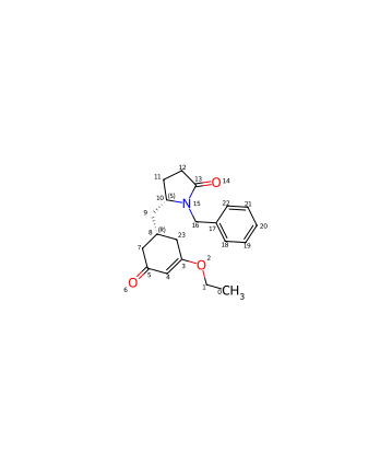 CCOC1=CC(=O)C[C@H](C[C@@H]2CCC(=O)N2Cc2ccccc2)C1